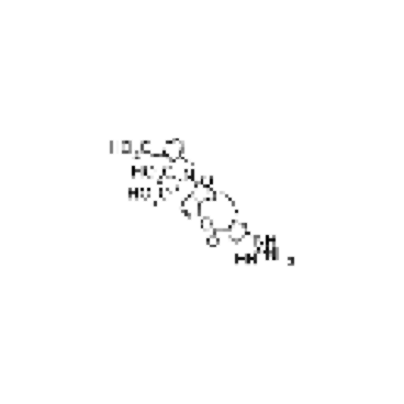 N=C(N)Nc1ccc2c(c1)CCCOc1c(cccc1C(=O)N(Cc1cccc(CC(=O)O)c1)[C@@H](CC(=O)O)C(=O)O)OC2=O